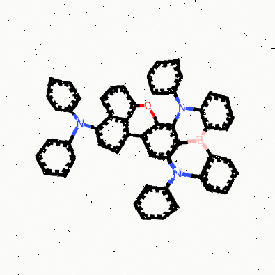 c1ccc(N2c3ccccc3B3c4ccccc4N(c4ccccc4)c4c5c(cc2c43)-c2ccc(N(c3ccccc3)c3ccccc3)c3cccc(c23)O5)cc1